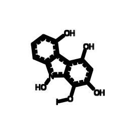 Oc1cc(O)c2c3c(O)cccc3n(O)c2c1OI